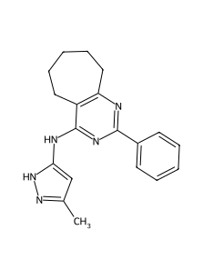 Cc1cc(Nc2nc(-c3ccccc3)nc3c2CCCCC3)[nH]n1